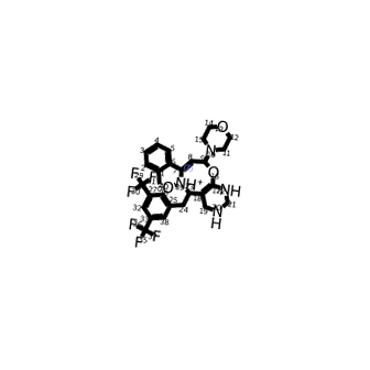 Cc1ccccc1/C1=C/C(N2CCOCC2)OC2=C(CNCN2)C(Cc2cc(C(F)(F)F)cc(C(F)(F)F)c2)[NH+]1[O-]